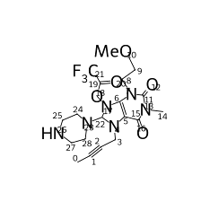 CC#CCN1c2c(n(CCOC)c(=O)n(C)c2=O)N(OC(=O)C(F)(F)F)C1N1CCNCC1